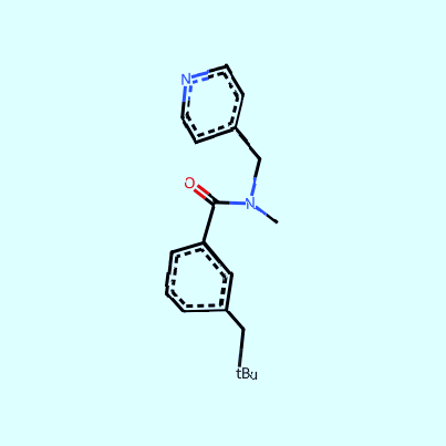 CN(Cc1ccncc1)C(=O)c1cccc(CC(C)(C)C)c1